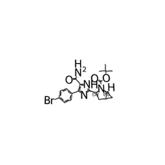 CC(C)(C)OC(=O)N1[C@@H]2CC2C[C@H]1c1nc(-c2ccc(Br)cc2)c(C(N)=O)[nH]1